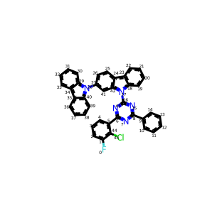 Fc1cccc(-c2nc(-c3ccccc3)nc(-n3c4ccccc4c4ccc(-n5c6ccccc6c6ccccc65)cc43)n2)c1Cl